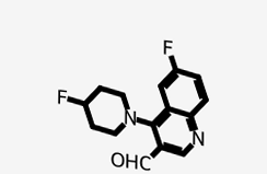 O=Cc1cnc2ccc(F)cc2c1N1CCC(F)CC1